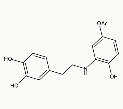 CC(=O)Oc1ccc(O)c(NCCc2ccc(O)c(O)c2)c1